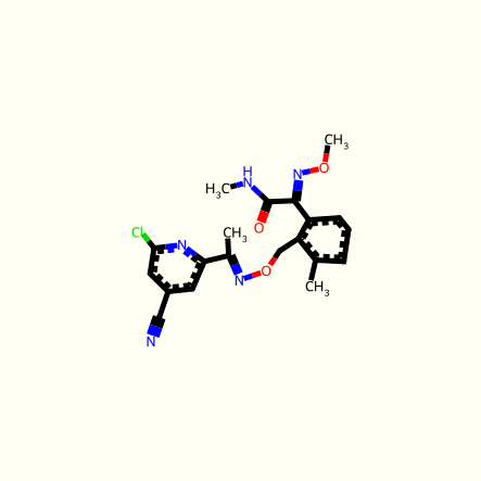 CNC(=O)/C(=N/OC)c1cccc(C)c1CO/N=C(\C)c1cc(C#N)cc(Cl)n1